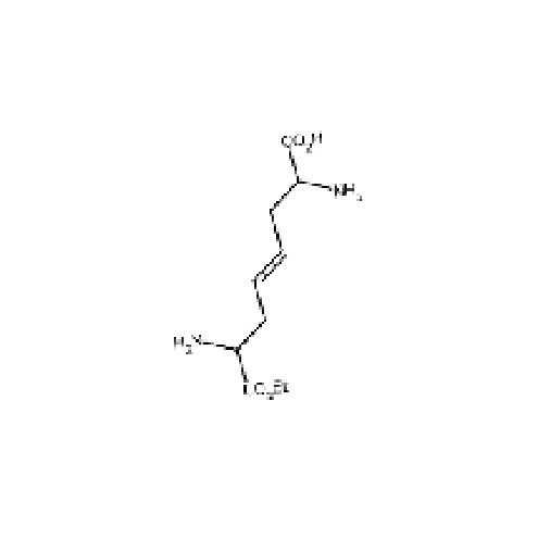 CCOC(=O)C(N)CC=CCC(N)C(=O)O